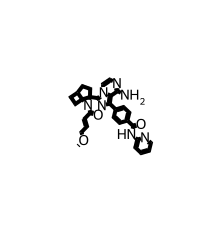 COC/C=C/C(=O)N1C2(c3nc(-c4ccc(C(=O)Nc5ccccn5)cc4)c4c(N)nccn34)CCC3CCC312